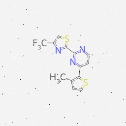 Cc1ccsc1-c1c[c]nc(-c2nc(C(F)(F)F)cs2)n1